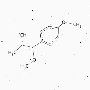 COc1ccc(C(OC)C(C)C)cc1